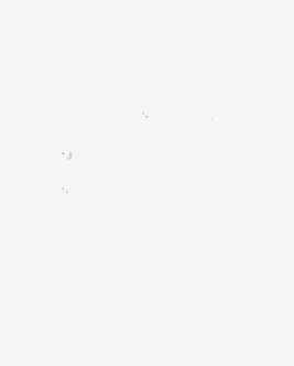 NNc1ccccc1.c1ccncc1